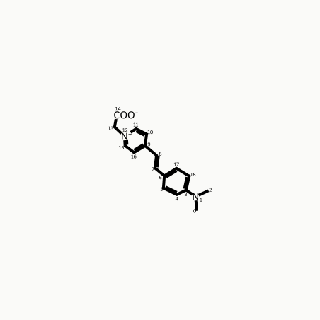 CN(C)c1ccc(/C=C/c2cc[n+](CC(=O)[O-])cc2)cc1